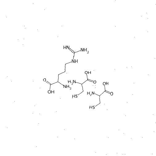 N=C(N)NCCCC(N)C(=O)O.NC(CS)C(=O)O.NC(CS)C(=O)O